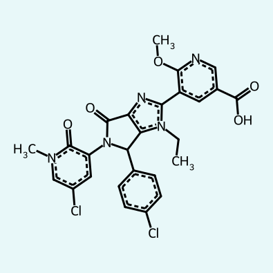 CCn1c(-c2cc(C(=O)O)cnc2OC)nc2c1C(c1ccc(Cl)cc1)N(c1cc(Cl)cn(C)c1=O)C2=O